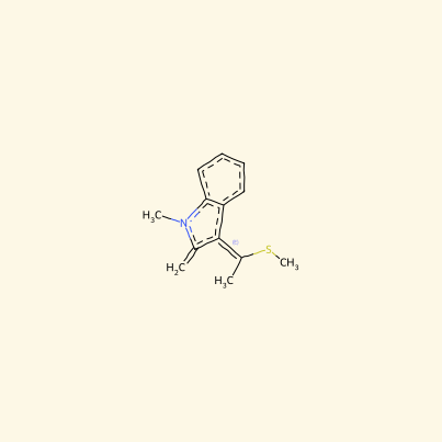 C=c1/c(=C(\C)SC)c2ccccc2n1C